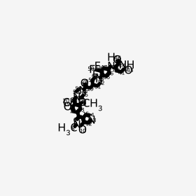 COc1cc(-c2cn(C)c(=O)c3cnccc23)cc(OC)c1CN1CCN(C(=O)CC2CCN(c3ccc(N[C@H]4CCC(=O)NC4=O)cc3C(F)(F)F)CC2)CC1